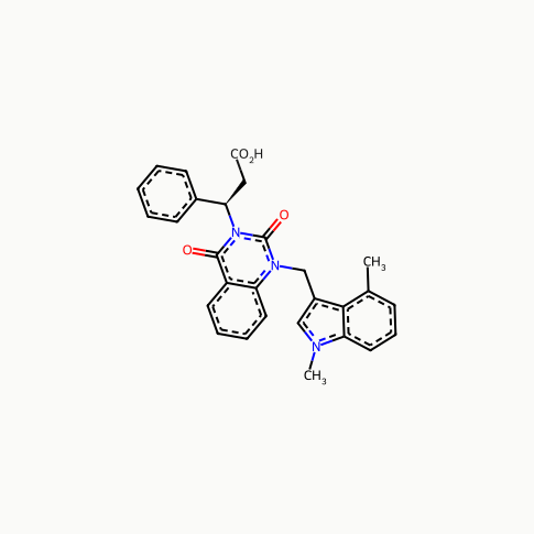 Cc1cccc2c1c(Cn1c(=O)n([C@H](CC(=O)O)c3ccccc3)c(=O)c3ccccc31)cn2C